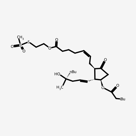 CCCC[C@](C)(O)C/C=C/[C@H]1[C@H](OC(=O)CC(C)CC)CC(=O)[C@@H]1C/C=C\CCCC(=O)OCCSS(C)(=O)=O